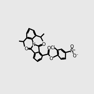 CC(C)c1cccc(C(C)C)c1N1C(=O)c2cccc(C(=O)Oc3ccc([N+](=O)[O-])cc3Cl)c2C1=O